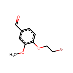 COc1cc(C=O)ccc1OCCBr